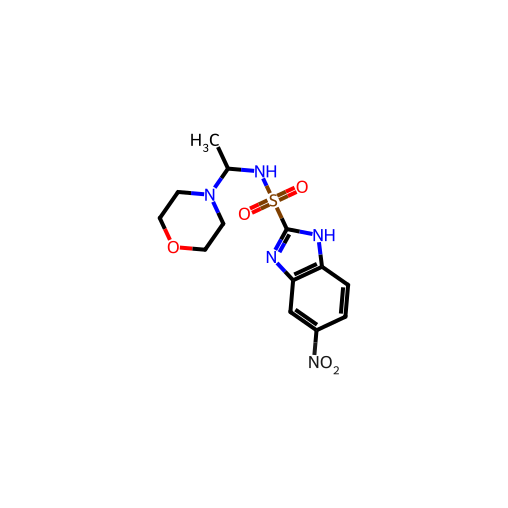 CC(NS(=O)(=O)c1nc2cc([N+](=O)[O-])ccc2[nH]1)N1CCOCC1